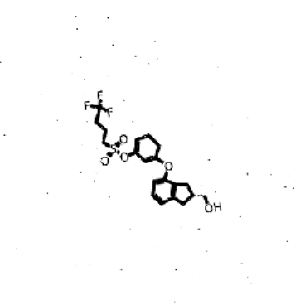 O=S(=O)(CCCC(F)(F)F)OC1=CCCC(Oc2cccc3c2C[C@H](CO)C3)=C1